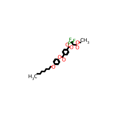 CCCCCCCCOc1ccc(OC(=O)c2ccc(C(=O)OC(C(=O)OCC)C(F)(F)F)cc2)cc1